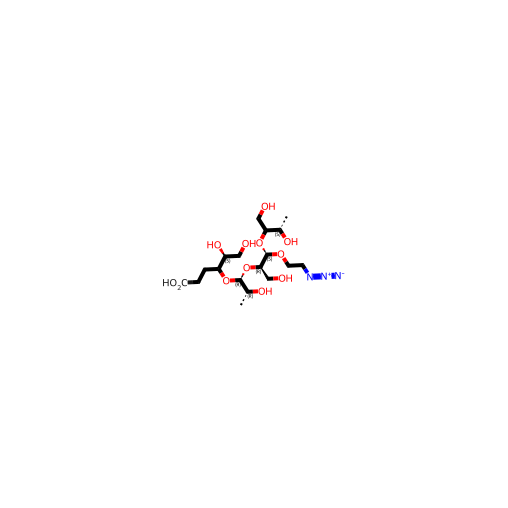 C[C@H](O)C(CO)O[C@H](OCCN=[N+]=[N-])[C@@H](CO)O[C@@H](OC(CCC(=O)O)[C@@H](O)CO)[C@@H](C)O